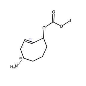 N[C@@H]1C/C=C/C(OC(=O)OI)CCC1